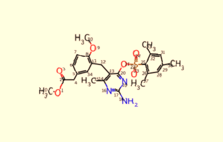 COC(=O)Cc1ccc(OC)c(Cc2c(C)nc(N)nc2OS(=O)(=O)c2c(C)cc(C)cc2C)c1